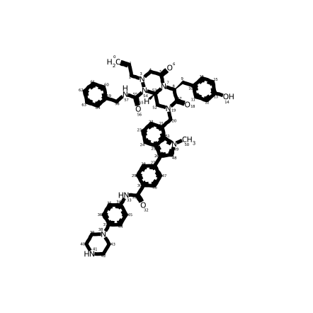 C=CCN1CC(=O)N2[C@@H](Cc3ccc(O)cc3)C(=O)N(Cc3cccc4c(-c5ccc(C(=O)Nc6ccc(N7CCNCC7)cc6)cc5)cn(C)c34)C[C@@H]2N1C(=O)NCc1ccccc1